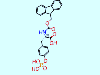 O=C(N[C@@H](Cc1ccc(OP(=O)(O)O)cc1)C(=O)O)OCC1c2ccccc2-c2ccccc21